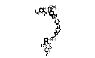 CC(C)(O)c1cc2nn([C@H]3CC[C@H](CN4CCC5(CC4)CC(CCNc4cccc6c4C(=O)N(C4CCC(=O)NC4=O)C6=O)C5)CC3)cc2cc1NC(=O)c1cccc(C(F)(F)F)n1